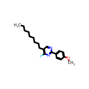 CCCCCCCCCc1cnc(-c2ccc(OC)cc2)nc1F